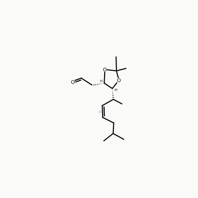 CC(C)C/C=C\C(C)[C@H]1OC(C)(C)O[C@H]1CC=O